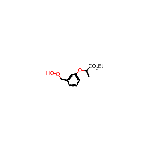 CCOC(=O)C(C)Oc1cccc(COO)c1